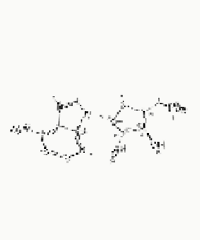 COC[C@H]1S[C@@H](n2cnc3c(N)ccnc32)[C@@H](O)[C@@H]1O